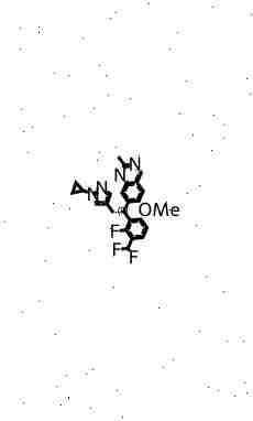 COc1cc2cnc(C)nc2cc1[C@@H](Cc1cnn(C2CC2)c1)c1cccc(C(F)F)c1F